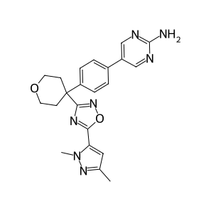 Cc1cc(-c2nc(C3(c4ccc(-c5cnc(N)nc5)cc4)CCOCC3)no2)n(C)n1